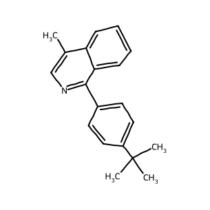 Cc1cnc(-c2ccc(C(C)(C)C)cc2)c2ccccc12